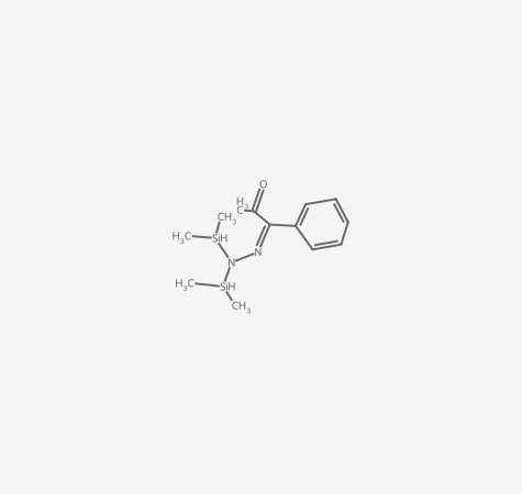 CC(=O)C(=NN([SiH](C)C)[SiH](C)C)c1ccccc1